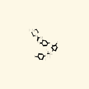 N=C(Nc1ccc(I)cc1)Nc1ccc(I)c(Oc2ccc3ncc(N4CCNCC4)nc3c2)c1